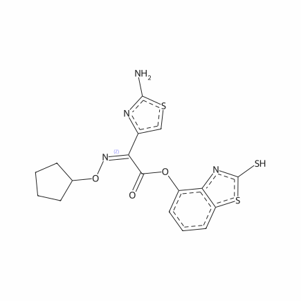 Nc1nc(/C(=N/OC2CCCC2)C(=O)Oc2cccc3sc(S)nc23)cs1